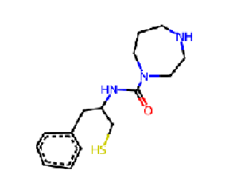 O=C(NC(CS)Cc1ccccc1)N1CCCNCC1